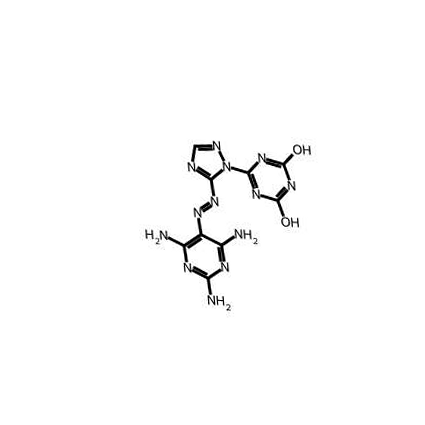 Nc1nc(N)c(/N=N/c2ncnn2-c2nc(O)nc(O)n2)c(N)n1